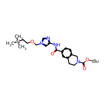 CC(C)(C)OC(=O)N1CCc2cc(C(=O)Nc3cn(COCC[Si](C)(C)C)cn3)ccc2C1